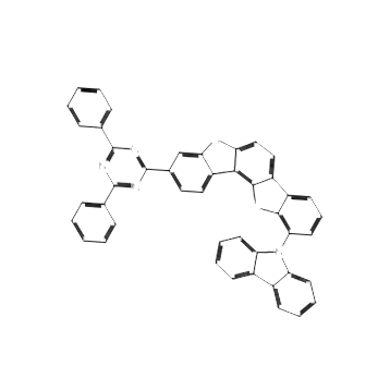 c1ccc(-c2nc(-c3ccccc3)nc(-c3ccc4c(c3)sc3ccc5c6cccc(-n7c8ccccc8c8ccccc87)c6sc5c34)n2)cc1